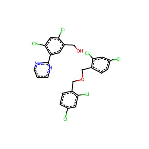 Clc1ccc(COCc2ccc(Cl)cc2Cl)c(Cl)c1.OCc1cc(-c2ncccn2)c(Cl)cc1Cl